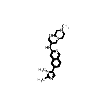 Cc1ncc(-c2ccc3cnc(N/C(=C/O)CN4CCN(C)CC4)cc3c2)n1C